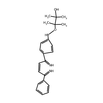 CC(C)(O)C(C)(C)OBc1ccc(C(=N)/C=C\C(=N)c2ccccc2)cc1